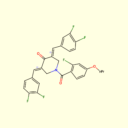 CCCOc1ccc(C(=O)N2C/C(=C\c3ccc(F)c(F)c3)C(=O)/C(=C/c3ccc(F)c(F)c3)C2)c(F)c1